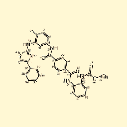 Cc1ccc(NC(=O)c2ccc(C(=O)Nc3ccccc3NC(=O)OC(C)(C)C)cc2)cc1Nc1nc(-c2cccnc2)cs1